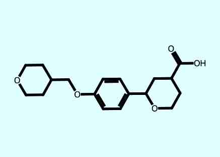 O=C(O)C1CCOC(c2ccc(OCC3CCOCC3)cc2)C1